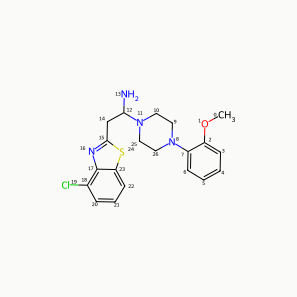 COc1ccccc1N1CCN(C(N)Cc2nc3c(Cl)cccc3s2)CC1